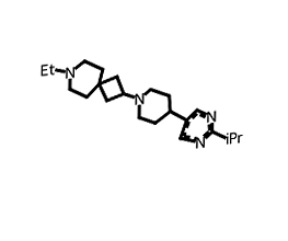 CCN1CCC2(CC1)CC(N1CCC(c3cnc(C(C)C)nc3)CC1)C2